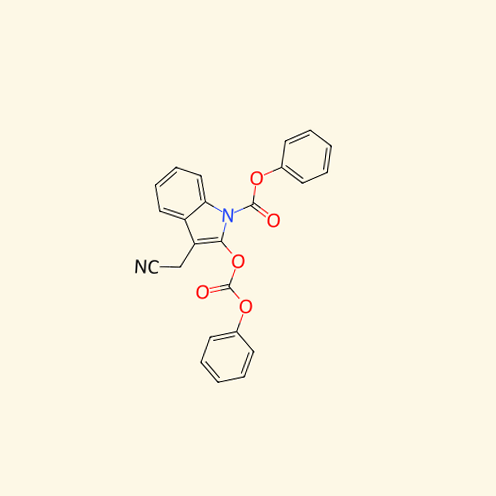 N#CCc1c(OC(=O)Oc2ccccc2)n(C(=O)Oc2ccccc2)c2ccccc12